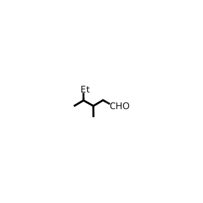 CCC(C)C(C)CC=O